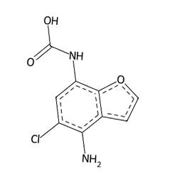 Nc1c(Cl)cc(NC(=O)O)c2occc12